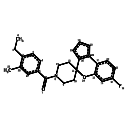 CCc1ccc(C(=O)N2CCC3(CC2)Oc2cc(F)ccc2-n2cccc23)cc1C